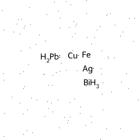 [Ag].[BiH3].[Cu].[Fe].[PbH2]